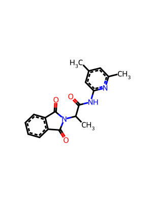 Cc1cc(C)nc(NC(=O)C(C)N2C(=O)c3ccccc3C2=O)c1